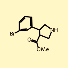 COC(=O)C1CNCC1c1cccc(Br)c1